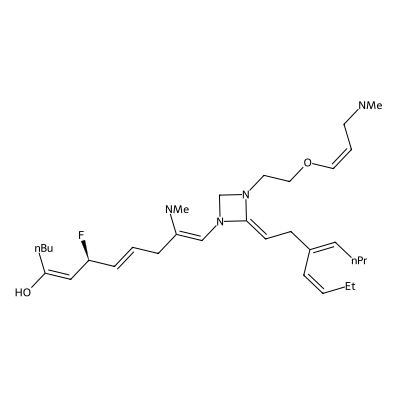 CC/C=C\C(=CCCC)C/C=C1/N(/C=C(/CC=C[C@H](F)/C=C(/O)CCCC)NC)CN1CCO/C=C\CNC